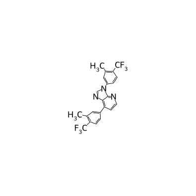 Cc1cc(-c2ccnc3c2ncn3-c2ccc(C(F)(F)F)c(C)c2)ccc1C(F)(F)F